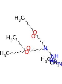 CCCCCCCCCOC(=O)CCCCCCCN(CCCCCCCC(=O)OC(CCCCCCCC)CCCCCCCC)CCCCN/C(=C/NC#N)N(C)C